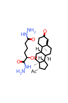 CC(=O)[C@H]1CC[C@H]2[C@@H]3CCC4=CC(=O)CC[C@]4(C)[C@H]3CC[C@]12C.NNC(=O)CCCC(O)C(=O)NN